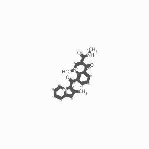 CNC(=O)c1cn(C)c2c(C(=O)c3c(C)cc4ccccn34)cccc2c1=O